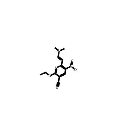 CCOc1nc(/C=C/N(C)C)c([N+](=O)[O-])cc1C#N